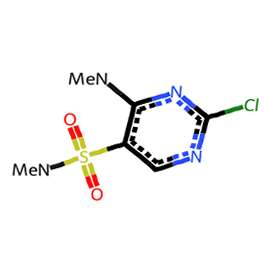 CNc1nc(Cl)ncc1S(=O)(=O)NC